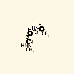 Cc1nc2ncc(Oc3ccc(NC(=O)Nc4cc(C(F)(F)F)ccc4F)cc3)cc2[nH]1